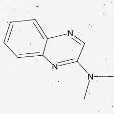 CN(C)c1cnc2c[c]ccc2n1